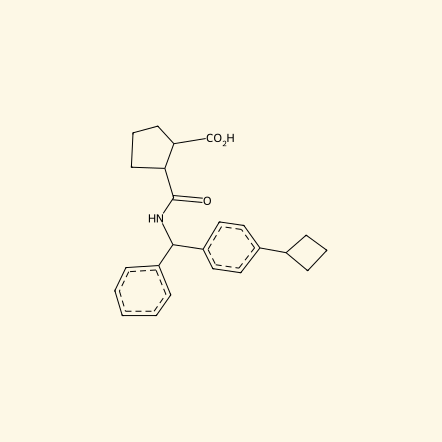 O=C(O)C1CCCC1C(=O)NC(c1ccccc1)c1ccc(C2CCC2)cc1